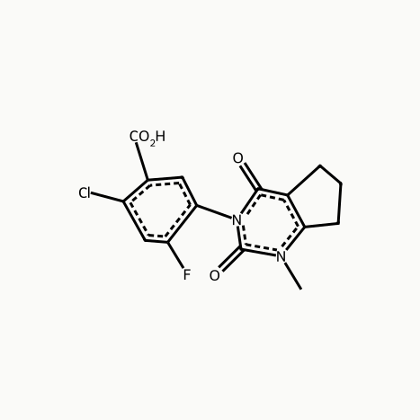 Cn1c2c(c(=O)n(-c3cc(C(=O)O)c(Cl)cc3F)c1=O)CCC2